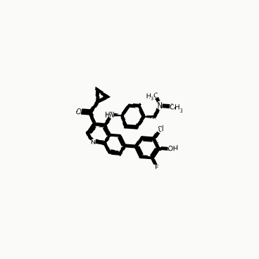 CN(C)C[C@H]1CC[C@@H](Nc2c(C(=O)C3CC3)cnc3ccc(-c4cc(F)c(O)c(Cl)c4)cc23)CC1